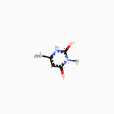 CCn1c(=O)cc(C=O)[nH]c1=O